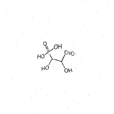 O=[C]C(O)C(O)P(=O)(O)O